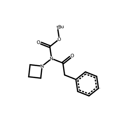 CC(C)(C)OC(=O)N(C(=O)Cc1cc[c]cc1)N1CCC1